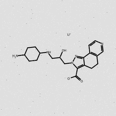 NC1CCC(NCC(O)Cn2nc3c(c2C(=O)[O-])CCc2cnccc2-3)CC1.[Li+]